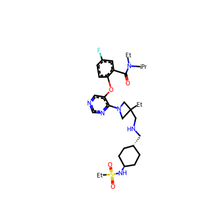 CCN(C(=O)c1cc(F)ccc1Oc1cncnc1N1CC(CC)(CNC[C@H]2CC[C@H](NS(=O)(=O)CC)CC2)C1)C(C)C